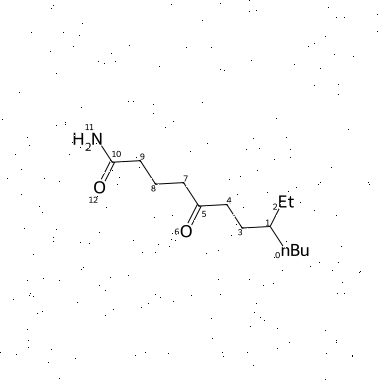 CCCCC(CC)CCC(=O)CCCC(N)=O